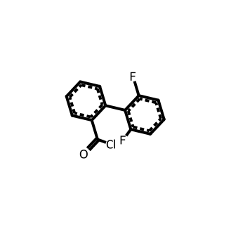 O=C(Cl)c1ccccc1-c1c(F)cccc1F